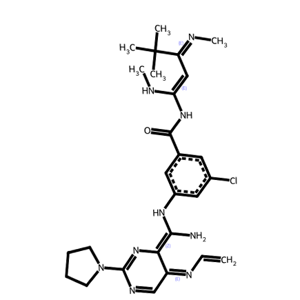 C=C/N=C1/C=NC(N2CCCC2)=N/C1=C(/N)Nc1cc(Cl)cc(C(=O)N/C(=C/C(=N\C)C(C)(C)C)NC)c1